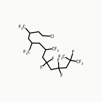 FC(F)(CC(CC(CC(CCCl)C(F)(F)F)C(F)(F)F)C(F)(F)F)CC(F)(F)CC(F)(C(F)(F)F)C(F)(F)F